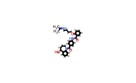 CC(C)NCCCCOc1ccccc1C(=O)Nc1ccc(C(=O)N2CCCC(O)c3ccccc32)cc1